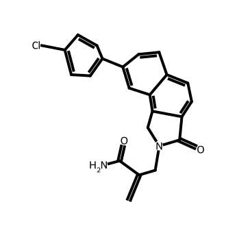 C=C(CN1Cc2c(ccc3ccc(-c4ccc(Cl)cc4)cc23)C1=O)C(N)=O